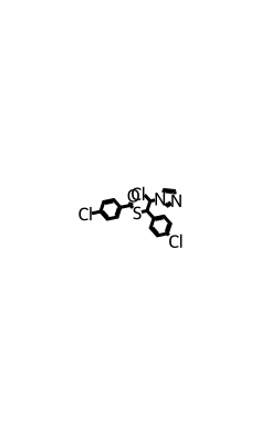 O=C(SC(c1ccc(Cl)cc1)C(Cl)n1ccnc1)c1ccc(Cl)cc1